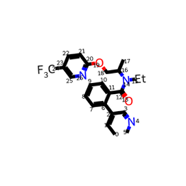 C/C=C(\C=N/C)c1ccccc1C(=O)N(CC)C(C)COc1ccc(C(F)(F)F)cn1